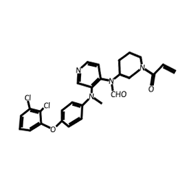 C=CC(=O)N1CCCC(N(C=O)c2ccncc2N(C)c2ccc(Oc3cccc(Cl)c3Cl)cc2)C1